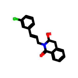 O=C1c2ccccc2CC(O)N1C/C=C/c1cccc(Cl)c1